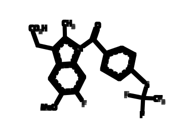 COc1cc2c(CC(=O)O)c(C)n(C(=O)c3ccc(SC(F)(F)C(F)(F)F)cc3)c2cc1F